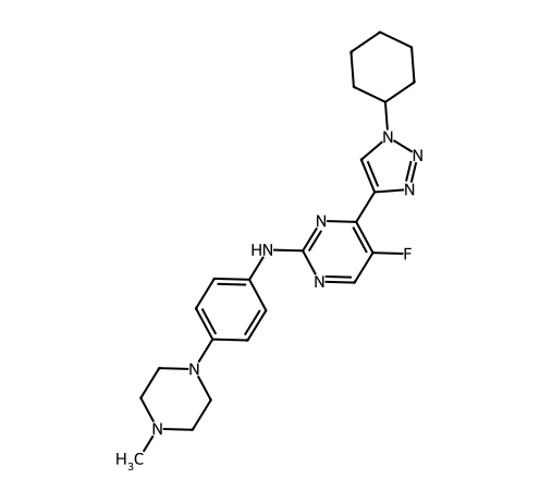 CN1CCN(c2ccc(Nc3ncc(F)c(-c4cn(C5CCCCC5)nn4)n3)cc2)CC1